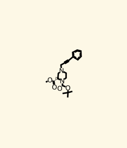 COC(=O)[C@@H]1CN(CC#Cc2ccccc2)CCN1C(=O)OC(C)(C)C